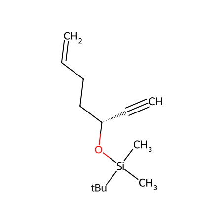 C#C[C@@H](CCC=C)O[Si](C)(C)C(C)(C)C